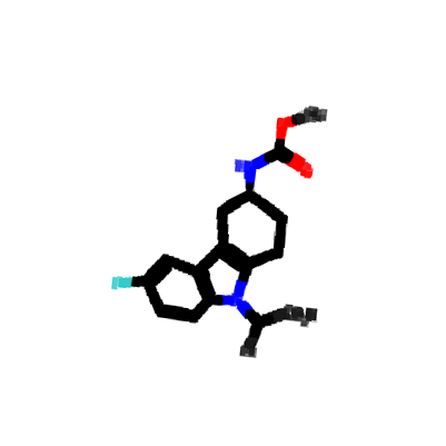 CCC(C(=O)O)n1c2c(c3cc(F)ccc31)C[C@@H](NC(=O)OC(C)(C)C)CC2